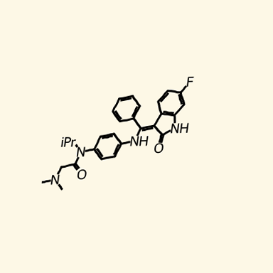 CC(C)N(C(=O)CN(C)C)c1ccc(N/C(=C2\C(=O)Nc3cc(F)ccc32)c2ccccc2)cc1